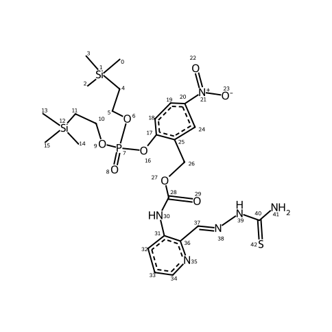 C[Si](C)(C)CCOP(=O)(OCC[Si](C)(C)C)Oc1ccc([N+](=O)[O-])cc1COC(=O)Nc1cccnc1C=NNC(N)=S